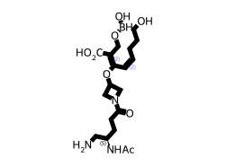 CC(=O)N[C@H](CN)CCC(=O)N1CC(OC(/C=C\CCCO)=C(/COBO)C(=O)O)C1